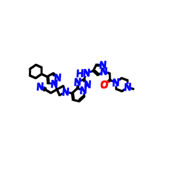 CN1CCN(C(=O)Cn2cc(Nc3nc4c(N5CC(CC#N)(n6cc(C7CCCCC7)cn6)C5)cccn4n3)cn2)CC1